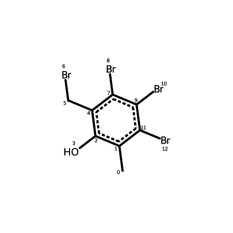 Cc1c(O)c(CBr)c(Br)c(Br)c1Br